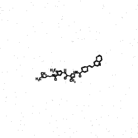 CN(C)CCCNC(=O)c1cc(NC(=O)c2cc(NC(=O)c3ccc(C=Cc4cnc5ccccc5c4)cc3)cn2C)cn1C